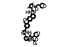 COC(=O)N[C@H](C(=O)N1[C@@H](C)CC[C@H]1c1ncc(-c2ccc3c(c2)COc2cc4c(ccc5nc(C6[C@@H](C)C[C@H](C)N6C(=O)CC6CCOCC6)[nH]c54)cc2-3)[nH]1)C1CCOCC1